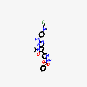 CC(C)n1c(=O)c(-c2ccc(NS(=O)(=O)c3ccccc3)nc2)cc2cnc(N[C@H]3CC[C@H](N(C)CCF)CC3)nc21